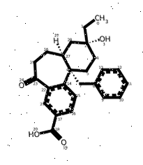 CC[C@@]1(O)CC[C@@]2(Cc3ccccc3)c3ccc(C(=O)O)cc3C(=O)CC[C@H]2C1